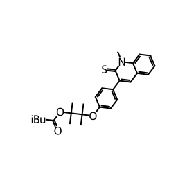 CCC(C)C(=O)OC(C)(C)C(C)(C)Oc1ccc(-c2cc3ccccc3n(C)c2=S)cc1